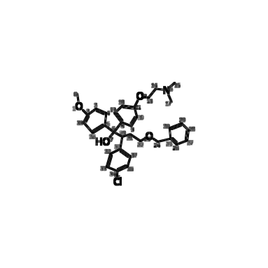 COc1ccc(C(O)(c2ccc(OCCN(C)C)cc2)C(CCOCc2ccccc2)c2ccc(Cl)cc2)cc1